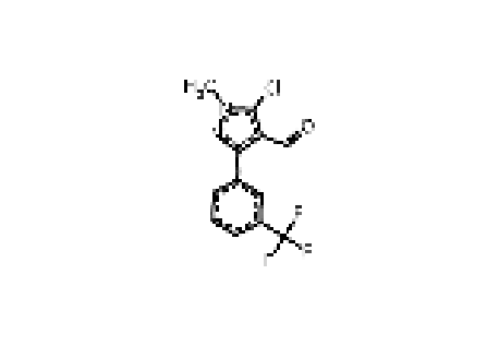 Cn1nc(-c2cccc(C(F)(F)F)c2)c(C=O)c1Cl